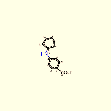 CCCCCCCCc1ccc(Nc2ccccc2)cc1